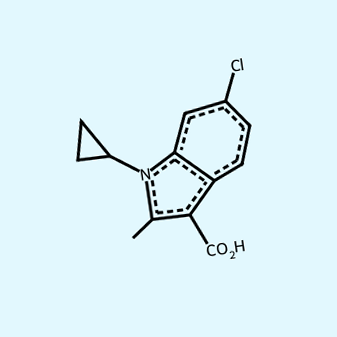 Cc1c(C(=O)O)c2ccc(Cl)cc2n1C1CC1